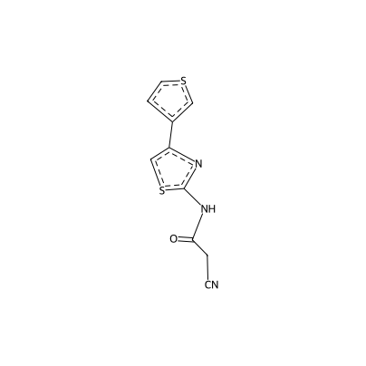 N#CCC(=O)Nc1nc(-c2ccsc2)cs1